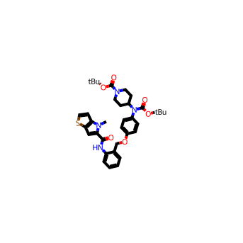 Cn1c(C(=O)Nc2ccccc2COc2ccc(N(C(=O)OC(C)(C)C)C3CCN(C(=O)OC(C)(C)C)CC3)cc2)cc2sccc21